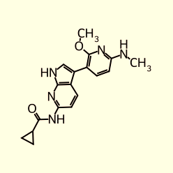 CNc1ccc(-c2c[nH]c3nc(NC(=O)C4CC4)ccc23)c(OC)n1